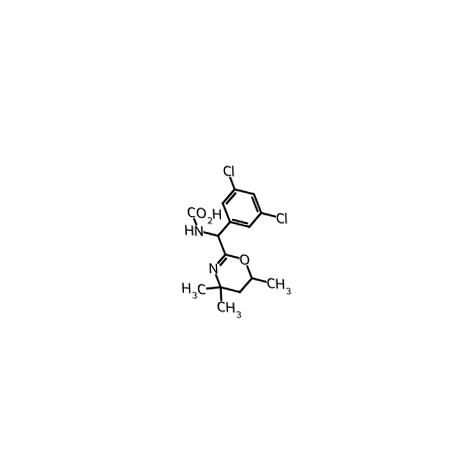 CC1CC(C)(C)N=C(C(NC(=O)O)c2cc(Cl)cc(Cl)c2)O1